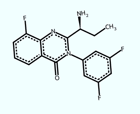 CC[C@H](N)c1nc2c(F)cccc2c(=O)n1-c1cc(F)cc(F)c1